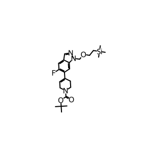 CC(C)(C)OC(=O)N1CC=C(c2cc3c(cnn3COCC[Si](C)(C)C)cc2F)CC1